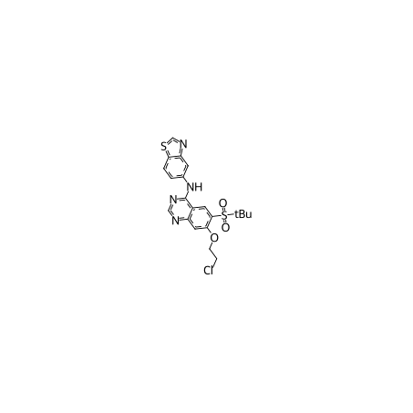 CC(C)(C)S(=O)(=O)c1cc2c(Nc3ccc4scnc4c3)ncnc2cc1OCCCl